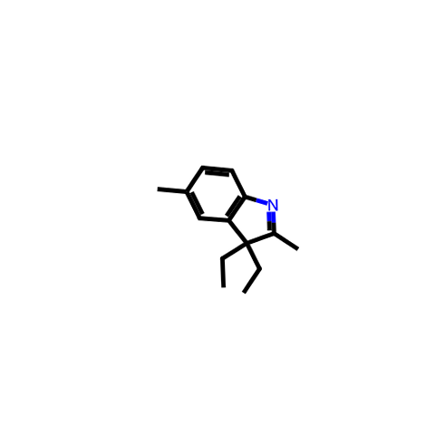 CCC1(CC)C(C)=Nc2ccc(C)cc21